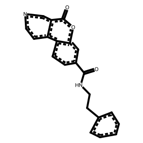 O=C(NCCc1ccccc1)c1ccc2c(c1)oc(=O)c1cnccc12